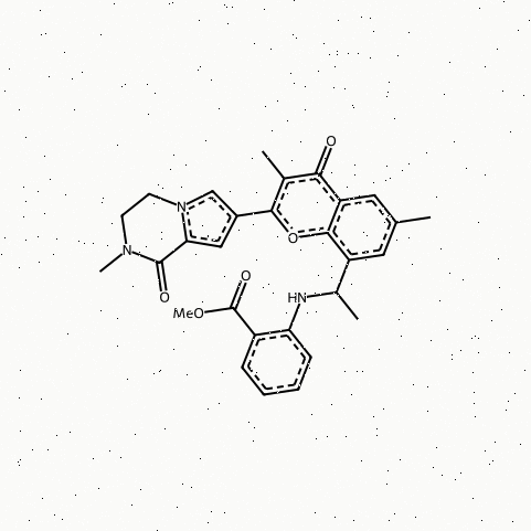 COC(=O)c1ccccc1NC(C)c1cc(C)cc2c(=O)c(C)c(-c3cc4n(c3)CCN(C)C4=O)oc12